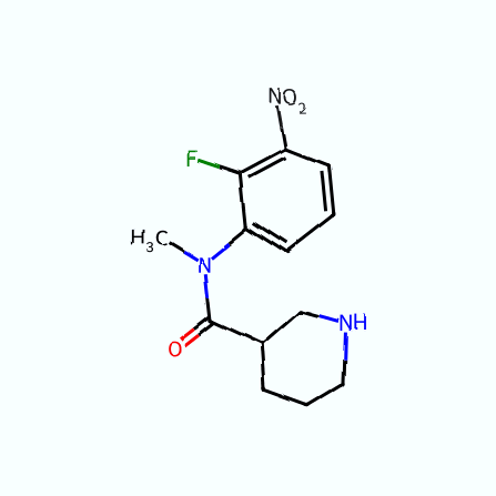 CN(C(=O)C1CCCNC1)c1cccc([N+](=O)[O-])c1F